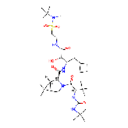 CN(C(C)(C)C)S(=O)(=O)CCNC(=O)C(O)C(CC1CCC1)NC(=O)[C@@H]1[C@@H]2C(CN1C(=O)[C@@H](NC(=O)NC(C)(C)C)C(C)(C)C)C2(C)C